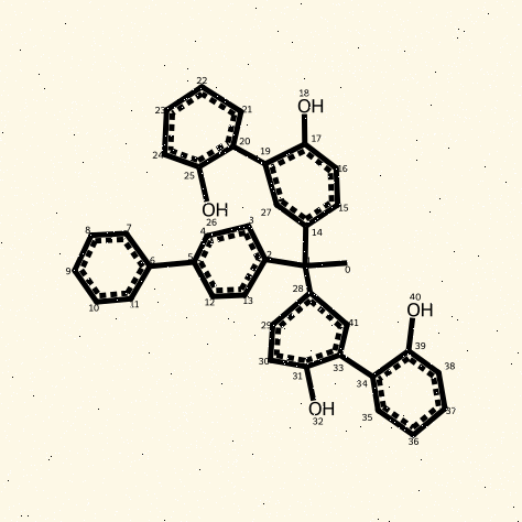 CC(c1ccc(-c2ccccc2)cc1)(c1ccc(O)c(-c2ccccc2O)c1)c1ccc(O)c(-c2ccccc2O)c1